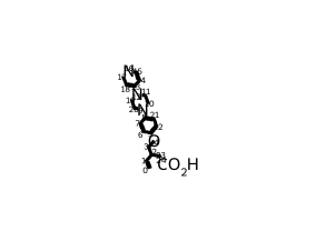 C=CC(COc1ccc(N2CCN(c3ccncc3)CC2)cc1)CC(=O)O